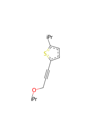 CC(C)OCC#Cc1ccc(C(C)C)s1